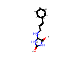 O=C1NC(=O)C(NCC=Cc2ccccc2)N1